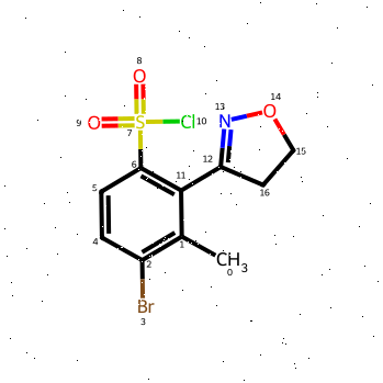 Cc1c(Br)ccc(S(=O)(=O)Cl)c1C1=NOCC1